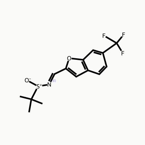 CC(C)(C)[S+]([O-])/N=C/c1cc2ccc(C(F)(F)F)cc2o1